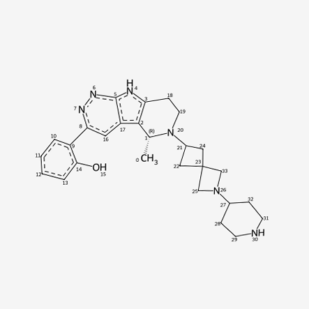 C[C@@H]1c2c([nH]c3nnc(-c4ccccc4O)cc23)CCN1C1CC2(C1)CN(C1CCNCC1)C2